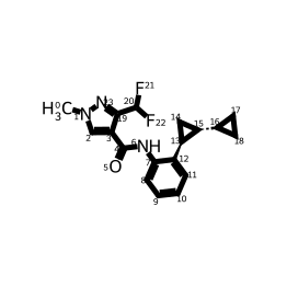 Cn1cc(C(=O)Nc2ccccc2[C@H]2C[C@@H]2C2CC2)c(C(F)F)n1